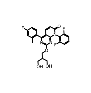 Cc1cc(F)ccc1-c1nc(OCC(CO)CO)nc2c1ccc(=O)n2-c1c(F)cccc1F